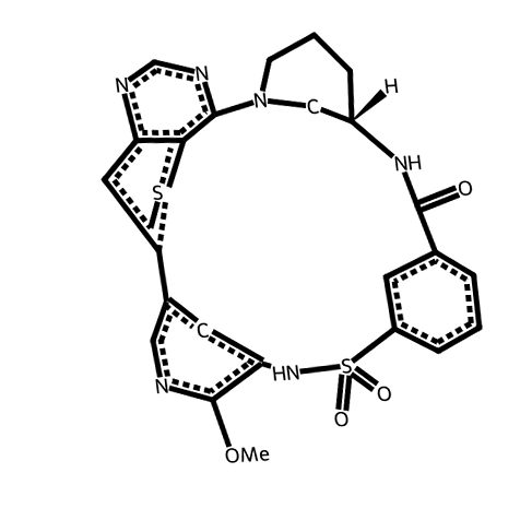 COc1ncc2cc1NS(=O)(=O)c1cccc(c1)C(=O)N[C@H]1CCCN(C1)c1ncnc3cc-2sc13